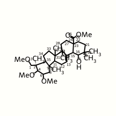 COC[C@]1(C)C(OC)C(OC)CC2(C)C3CC=C4C5C(O)C(C)(C)CCC5(C(=O)OC)CCC4(C)C3(C)CCC21